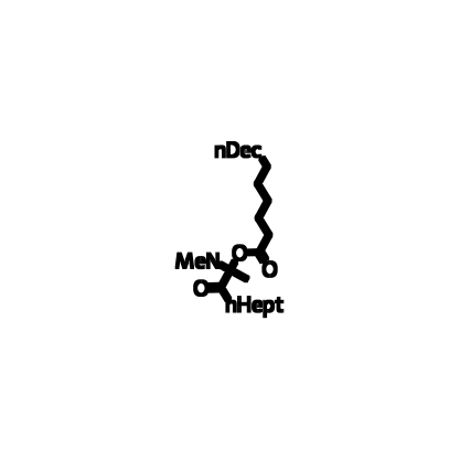 CCCCCCCCCCCCCCCC(=O)OC(C)(NC)C(=O)CCCCCCC